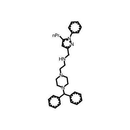 CCCc1cc(CNCCN2CCN(C(c3ccccc3)c3ccccc3)CC2)nn1-c1ccccc1